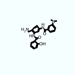 CN(C)c1cccc(C(=O)Nc2ccc(CN)c(NC(=O)c3ccccc3O)c2)c1